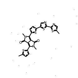 Cc1ccc(C2=C3C(=O)N(C)C(c4ccc(-c5cnc(-c6ncc(C)s6)s5)s4)=C3C(=O)N2C)s1